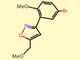 COCc1cc(-c2cc(Br)ccc2OC)no1